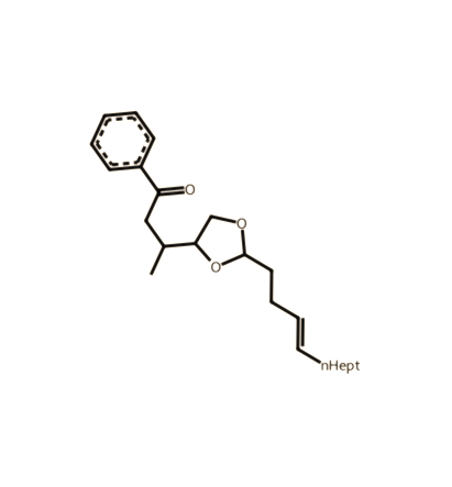 CCCCCCCC=CCCC1OCC(C(C)CC(=O)c2ccccc2)O1